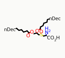 CCCCCCCCCCCCCCCC(=O)OCC(CSC[C@H](N)C(=O)O)OC(=O)CCCCCCCCCCCCCCC